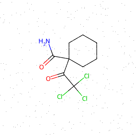 NC(=O)C1(C(=O)C(Cl)(Cl)Cl)CCCCC1